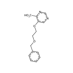 O=C(O)c1ncncc1OCCOCc1ccccc1